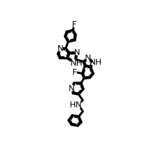 Fc1ccc(-c2nccc3[nH]c(-c4n[nH]c5ccc(-c6cncc(CNCc7ccccc7)c6)c(F)c45)nc23)cc1